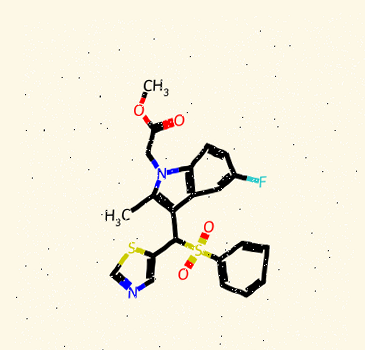 COC(=O)Cn1c(C)c(C(c2cncs2)S(=O)(=O)c2ccccc2)c2cc(F)ccc21